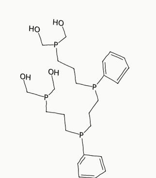 OCP(CO)CCCP(CCCP(CCCP(CO)CO)c1ccccc1)c1ccccc1